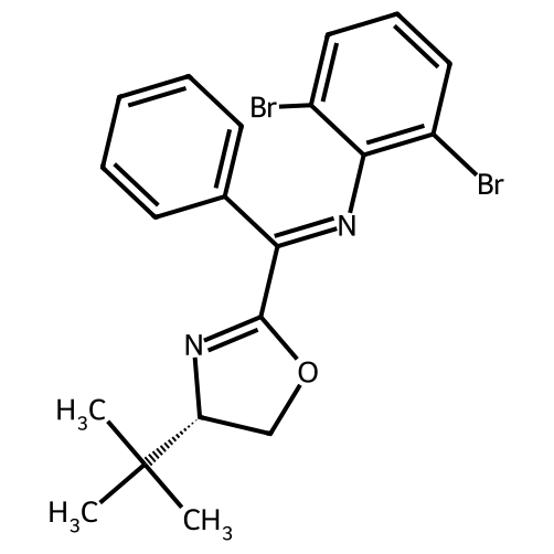 CC(C)(C)[C@H]1COC(/C(=N/c2c(Br)cccc2Br)c2ccccc2)=N1